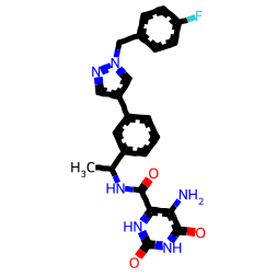 CC(NC(=O)c1[nH]c(=O)[nH]c(=O)c1N)c1cccc(-c2cnn(Cc3ccc(F)cc3)c2)c1